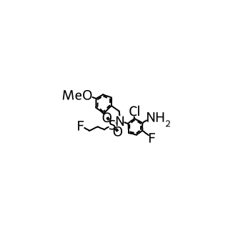 COc1ccc(CN(c2ccc(F)c(N)c2Cl)S(=O)(=O)CCCF)cc1